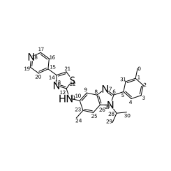 Cc1cccc(-c2nc3cc(Nc4nc(-c5ccncc5)cs4)c(C)cc3n2C(C)C)c1